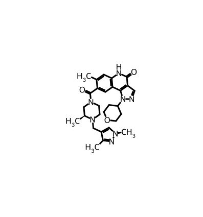 Cc1cc2[nH]c(=O)c3cnn(C4CCOCC4)c3c2cc1C(=O)N1CCN(Cc2cn(C)nc2C)[C@@H](C)C1